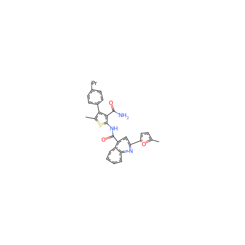 Cc1ccc(-c2cc(C(=O)Nc3sc(C)c(-c4ccc(C(C)C)cc4)c3C(N)=O)c3ccccc3n2)o1